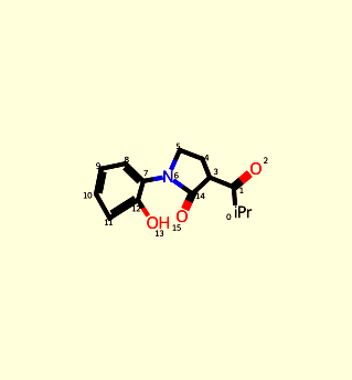 CC(C)C(=O)C1CCN(c2ccccc2O)C1=O